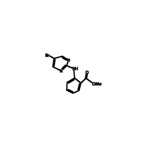 COC(=O)c1ccccc1Nc1ncc(Br)cn1